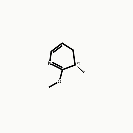 COC1=NC=CC[C@@H]1C